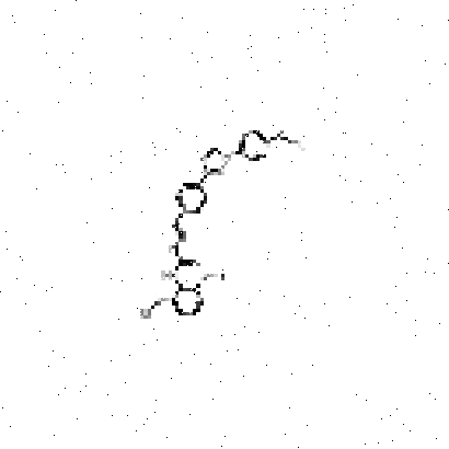 CCOc1cccc(OCC)c1NC(=S)N/N=C/c1ccc(-c2ncn(-c3ccc(OC(F)(F)F)cc3)n2)cc1